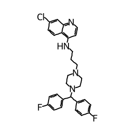 Fc1ccc(C(c2ccc(F)cc2)N2CCN(CCCNc3ccnc4cc(Cl)ccc34)CC2)cc1